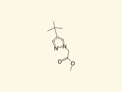 COC(=O)Cn1cc(C(C)(C)C)cn1